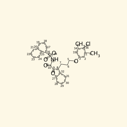 Cc1cc(OCCCc2c(C(=O)NS(=O)(=O)c3cccc4ccccc34)oc3ccccc23)cc(C)c1Cl